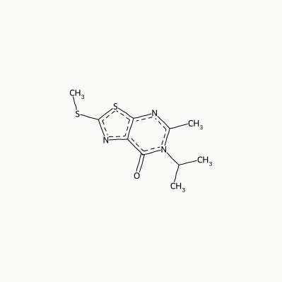 CSc1nc2c(=O)n(C(C)C)c(C)nc2s1